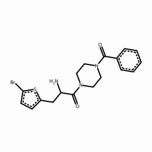 NC(Cc1ccc(Br)s1)C(=O)N1CCN(C(=O)c2ccccc2)CC1